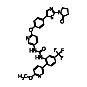 COc1ccc(-c2ccc(C(F)(F)F)cc2NC(=O)Nc2ccc(Oc3ccc(-c4cnc(N5CCCC5=O)s4)cc3)nc2)cn1